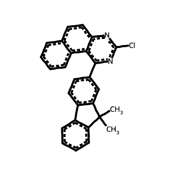 CC1(C)c2ccccc2-c2ccc(-c3nc(Cl)nc4ccc5ccccc5c34)cc21